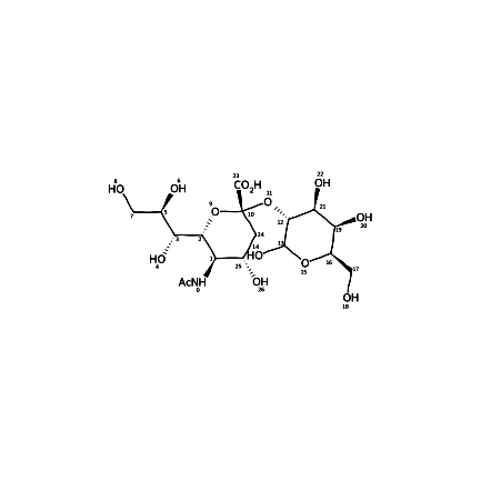 CC(=O)N[C@H]1[C@H]([C@H](O)[C@H](O)CO)O[C@@](O[C@H]2C(O)O[C@H](CO)[C@H](O)[C@@H]2O)(C(=O)O)C[C@@H]1O